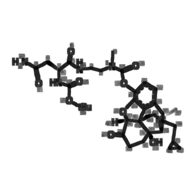 CN(CCNC(=O)[C@H](CC(N)=O)NC(=O)OC(C)(C)C)C(=O)Oc1ccc2c3c1O[C@H]1C(=O)CC[C@@]4(O)C(C2)[N@+](C)(CC2CC2)CC[C@]314